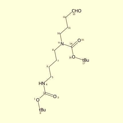 CC(C)(C)OC(=O)NCCCCN(CCCC=O)C(=O)OC(C)(C)C